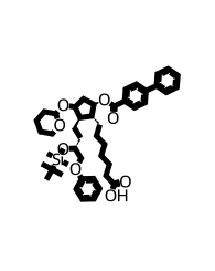 CC(C)(C)[Si](C)(C)O[C@H](CC[C@H]1C(OC2CCCCO2)C[C@H](OC(=O)c2ccc(-c3ccccc3)cc2)[C@@H]1CCCCCCC(=O)O)COc1ccccc1